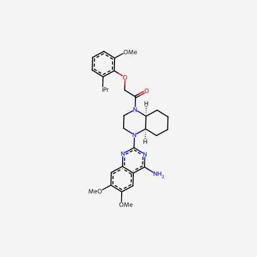 COc1cc2nc(N3CCN(C(=O)COc4c(OC)cccc4C(C)C)[C@H]4CCCC[C@H]43)nc(N)c2cc1OC